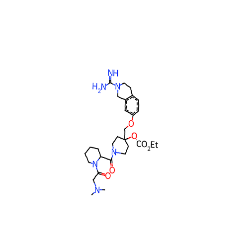 CCOC(=O)OC1(COc2ccc3c(c2)CN(C(=N)N)CC3)CCN(C(=O)C2CCCCN2C(=O)CN(C)C)CC1